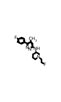 Cc1cc(N[C@@H]2CCCN(CCF)C2)nnc1-c1ccc(F)cc1